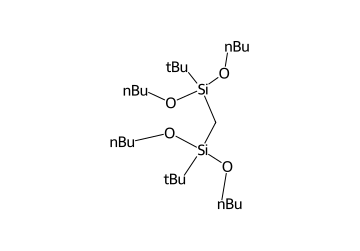 CCCCO[Si](C[Si](OCCCC)(OCCCC)C(C)(C)C)(OCCCC)C(C)(C)C